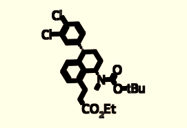 CCOC(=O)CCc1cccc2c1[C@@H](N(C)C(=O)OC(C)(C)C)CC[C@H]2c1ccc(Cl)c(Cl)c1